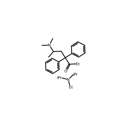 CCC(=O)C(CC(C)N(C)C)(c1ccccc1)c1ccccc1.CCN(C(C)C)C(C)C